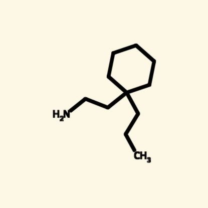 CCCC1(CCN)CCCCC1